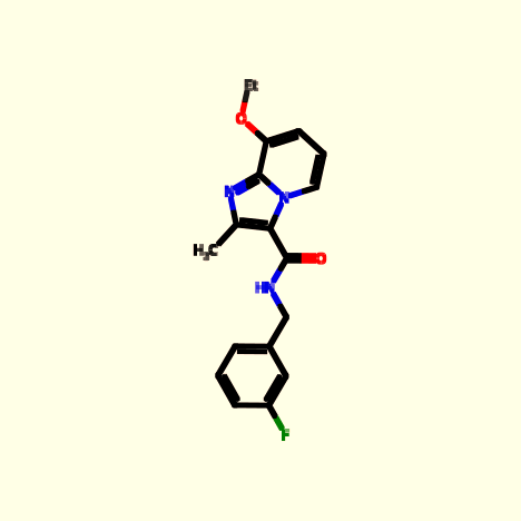 CCOc1cccn2c(C(=O)NCc3cccc(F)c3)c(C)nc12